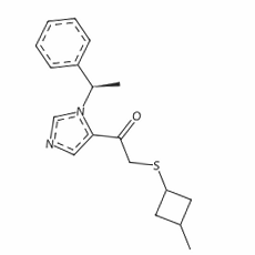 CC1CC(SCC(=O)c2cncn2[C@H](C)c2ccccc2)C1